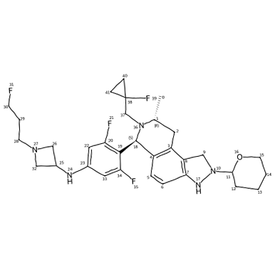 C[C@@H]1Cc2c(ccc3c2CN(C2CCCCO2)N3)[C@@H](c2c(F)cc(NC3CN(CCCF)C3)cc2F)N1CC1(F)CC1